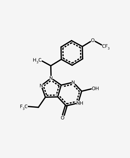 CC(c1ccc(OC(F)(F)F)cc1)n1nc(CC(F)(F)F)c2c(=O)[nH]c(O)nc21